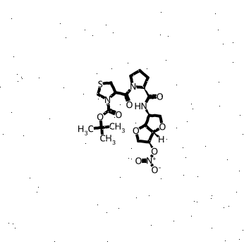 CC(C)(C)OC(=O)N1CSCC1C(=O)N1CCC[C@H]1C(=O)N[C@H]1CO[C@H]2C1OC[C@@H]2O[N+](=O)[O-]